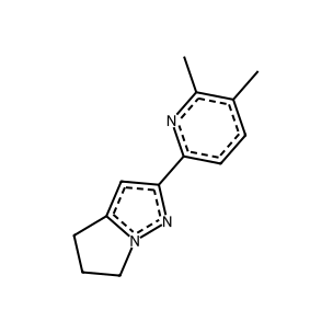 Cc1ccc(-c2cc3n(n2)CCC3)nc1C